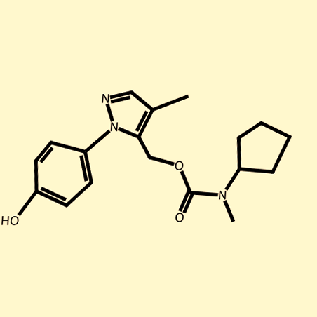 Cc1cnn(-c2ccc(O)cc2)c1COC(=O)N(C)C1CCCC1